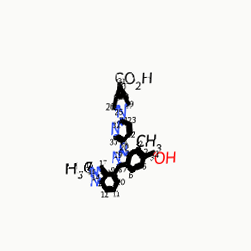 Cc1c(CO)ccc2c(-c3cccc4nn(C)cc34)nn(-c3ccc(N4CC5C(C4)C5C(=O)O)nc3)c12